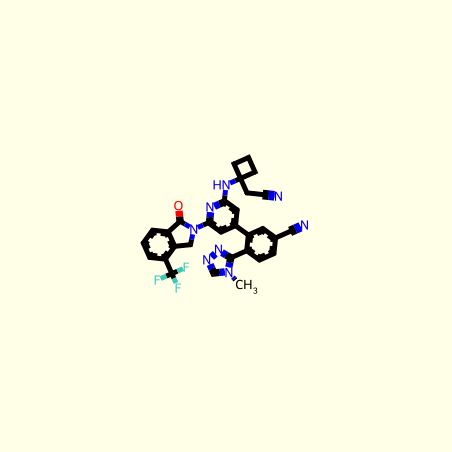 Cn1cnnc1-c1ccc(C#N)cc1-c1cc(NC2(CC#N)CCC2)nc(N2Cc3c(cccc3C(F)(F)F)C2=O)c1